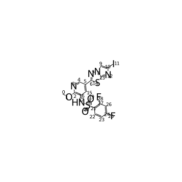 COc1ncc(-c2nn3cc(I)nc3s2)cc1NS(=O)(=O)c1ccc(F)cc1F